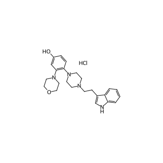 Cl.Oc1ccc(N2CCN(CCc3c[nH]c4ccccc34)CC2)c(N2CCOCC2)c1